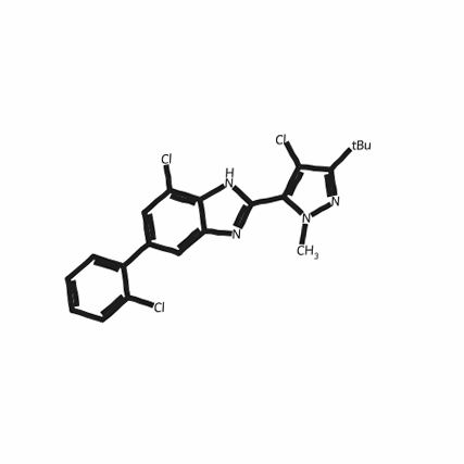 Cn1nc(C(C)(C)C)c(Cl)c1-c1nc2cc(-c3ccccc3Cl)cc(Cl)c2[nH]1